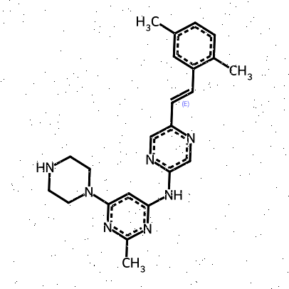 Cc1ccc(C)c(/C=C/c2cnc(Nc3cc(N4CCNCC4)nc(C)n3)cn2)c1